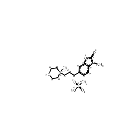 CS(=O)(=O)O.Cn1c(=O)oc2cc(CCC[N+]3(C)CCOCC3)ccc21